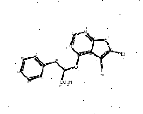 CCc1sc2ncnc(OC(Cc3ccccc3)C(=O)O)c2c1I